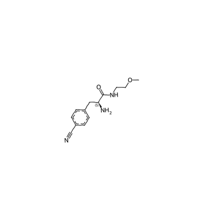 COCCNC(=O)[C@@H](N)Cc1ccc(C#N)cc1